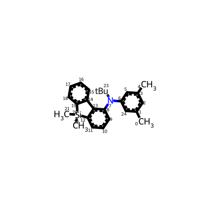 Cc1cc(C)cc(N(c2cccc3c2-c2ccccc2[Si]3(C)C)C(C)(C)C)c1